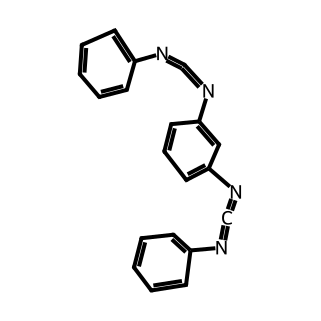 C(=Nc1ccccc1)=Nc1cccc(N=C=Nc2ccccc2)c1